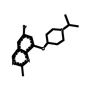 Cc1ncc2cc(Br)cc(OC3CCN(C(C)C)CC3)c2n1